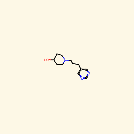 OC1CCN(CCCc2cncnc2)CC1